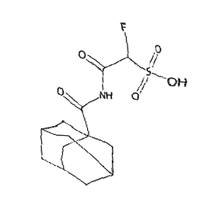 O=C(NC(=O)C12CC3CC(CC(C3)C1)C2)C(F)S(=O)(=O)O